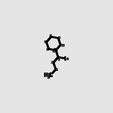 CCCC(I)N1CCCCC1